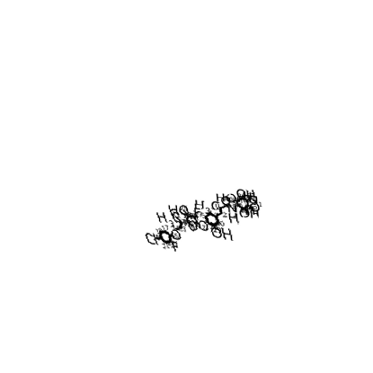 CC(=Cc1ccc(O[C@@H]2O[C@H](C(C)=CCOc3ccc(Cl)cc3F)[C@@H](O)[C@@H]2F)c(O)c1)C(=O)N[C@@H]1[C@H](O)[C@@H](O)[C@H]2OCO[C@H]2[C@@H]1O